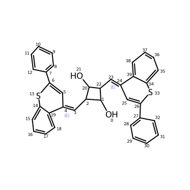 OC1C(/C=C2\C=C(c3ccccc3)Sc3ccccc32)C(O)C1/C=C1\C=C(c2ccccc2)Sc2ccccc21